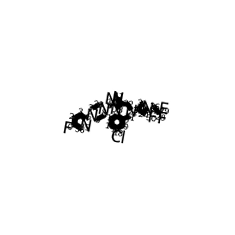 Fc1ccc(N2CCN(c3nnc4n3-c3ccc(Cl)cc3CN(C3CN(CC(F)(F)F)C3)C4)CC2)nc1